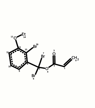 C=CC(=O)OC(Br)(Br)c1cccc(OCC)c1Br